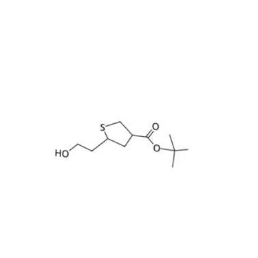 CC(C)(C)OC(=O)C1CSC(CCO)C1